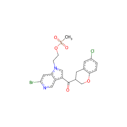 CS(=O)(=O)OCCn1cc(C(=O)C2COc3ccc(Cl)cc3C2)c2cnc(Br)cc21